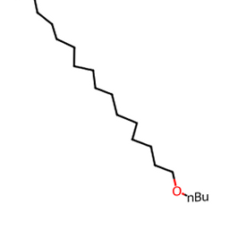 CCCCOCCCCCCCCCCCCCCCF